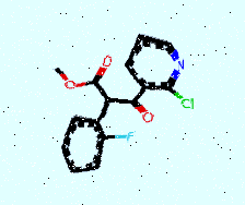 COC(=O)C(C(=O)c1cccnc1Cl)c1ccccc1F